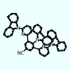 N#Cc1cc(-c2cccc(-n3c4ccccc4c4ccccc43)n2)c(-n2c3ccccc3c3ccccc32)c(-c2cccc(-n3c4ccccc4c4ccccc43)n2)c1